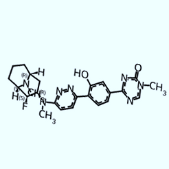 CN(c1ccc(-c2ccc(-c3ncn(C)c(=O)n3)cc2O)nn1)[C@@H]1C[C@H]2CCC[C@@H]([C@@H]1F)N2C